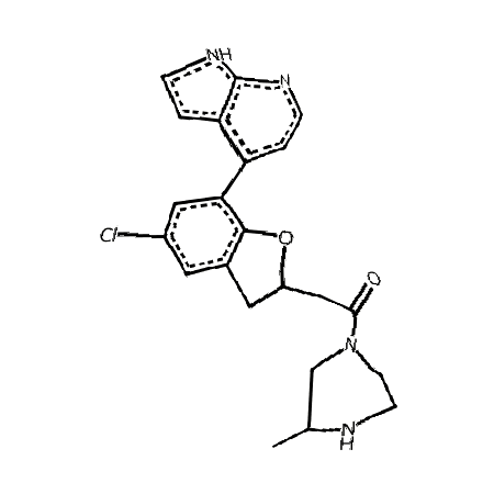 CC1CN(C(=O)C2Cc3cc(Cl)cc(-c4ccnc5[nH]ccc45)c3O2)CCN1